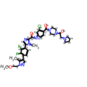 COCCn1ncc(-c2ccc(-c3cnc(C(=O)Nc4ccc(C(=O)N5CCN(C(=O)CN6CCCC6)CC5)c(Cl)c4)n3C)c(F)c2F)c1C